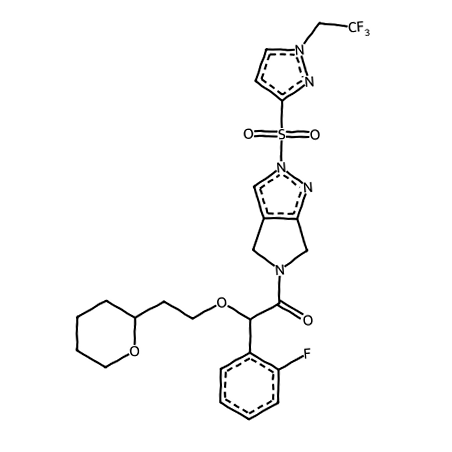 O=C(C(OCCC1CCCCO1)c1ccccc1F)N1Cc2cn(S(=O)(=O)c3ccn(CC(F)(F)F)n3)nc2C1